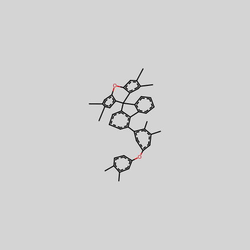 Cc1ccc(Oc2cc(C)c(C)c(-c3cccc4c3-c3ccccc3C43c4cc(C)c(C)cc4Oc4cc(C)c(C)cc43)c2)cc1C